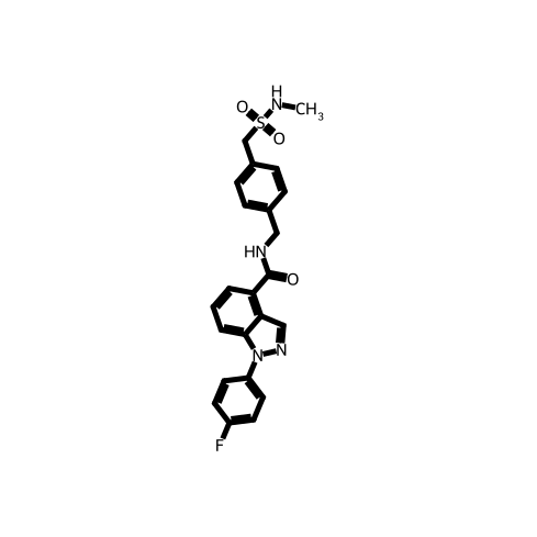 CNS(=O)(=O)Cc1ccc(CNC(=O)c2cccc3c2cnn3-c2ccc(F)cc2)cc1